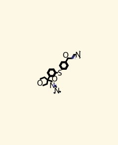 CN(C)/C=C/C(=O)c1ccc(Sc2cccc(C3(C(=O)/N=C/N(C)C)CCOCC3)c2)cc1